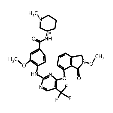 COc1cc(C(=O)N[C@@H]2CCCN(C)C2)ccc1Nc1ncc(C(F)(F)F)c(Oc2cccc3c2C(=O)N(OC)C3)n1